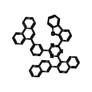 c1cc(-c2nc(-c3c(-c4ccc5ccccc5c4)ccc4ccccc34)nc(-c3cccc4c3oc3ccccc34)n2)cc(-c2cc3ccccc3c3ccccc23)c1